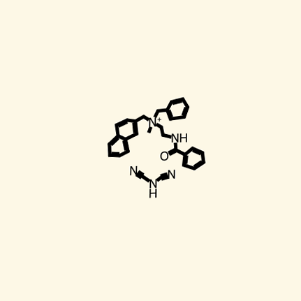 C[N+](CCNC(=O)c1ccccc1)(Cc1ccccc1)Cc1ccc2ccccc2c1.N#CNC#N